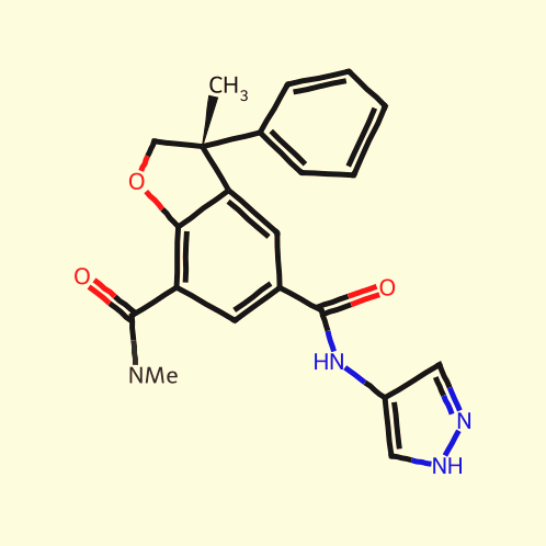 CNC(=O)c1cc(C(=O)Nc2cn[nH]c2)cc2c1OC[C@]2(C)c1ccccc1